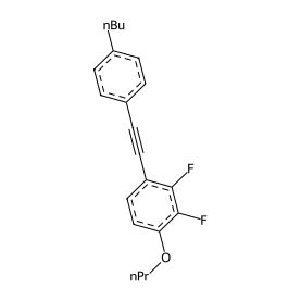 CCCCc1ccc(C#Cc2ccc(OCCC)c(F)c2F)cc1